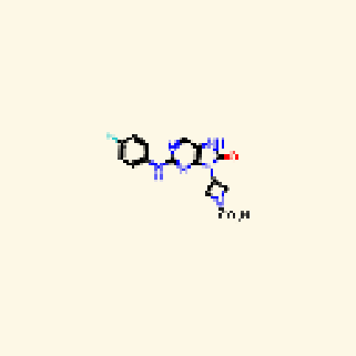 O=C(O)N1CC(n2c(=O)[nH]c3cnc(Nc4ccc(F)cc4)nc32)C1